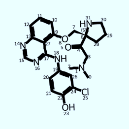 CN(C)CC(=O)[C@@]1(COc2cccc3ncnc(Nc4ccc(O)c(Cl)c4)c23)CCCN1